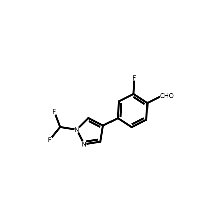 O=Cc1ccc(-c2cnn(C(F)F)c2)cc1F